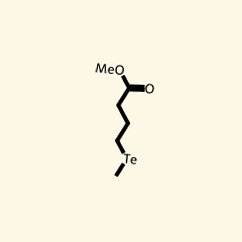 COC(=O)CCC[Te]C